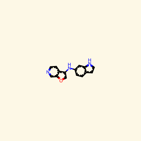 c1cc2c(Nc3ccc4cc[nH]c4c3)coc2cn1